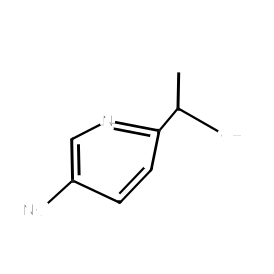 CC(I)c1ccc(C#N)cn1